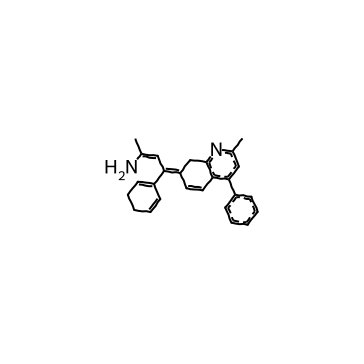 C/C(N)=C/C(C1=CCCC=C1)=C1/C=Cc2c(-c3ccccc3)cc(C)nc2C1